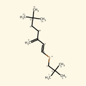 C=C(/C=C/SCC(C)(C)C)CCC(C)(C)C